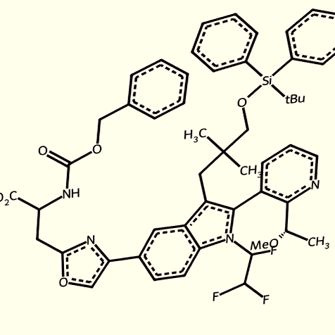 CO[C@@H](C)c1ncccc1-c1c(CC(C)(C)CO[Si](c2ccccc2)(c2ccccc2)C(C)(C)C)c2cc(-c3coc(CC(NC(=O)OCc4ccccc4)C(=O)O)n3)ccc2n1C(F)C(F)F